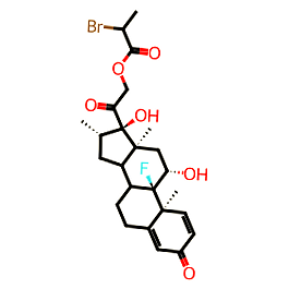 CC(Br)C(=O)OCC(=O)[C@@]1(O)[C@@H](C)CC2C3CCC4=CC(=O)C=C[C@]4(C)[C@@]3(F)[C@@H](O)C[C@@]21C